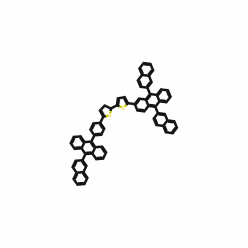 C1=C(c2ccc(-c3c4ccccc4c(-c4ccc5ccccc5c4)c4ccccc34)cc2)SC(c2ccc(-c3ccc4c(-c5ccc6ccccc6c5)c5ccccc5c(-c5ccc6ccccc6c5)c4c3)s2)C1